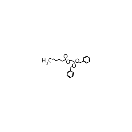 CCCCCC(=O)OCC(OCc1ccccc1)OCc1ccccc1